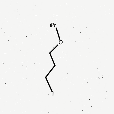 CC(C)OCCCI